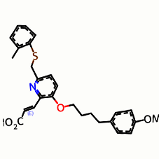 COc1ccc(CCCCOc2ccc(CSc3ccccc3C)nc2/C=C/C(=O)O)cc1